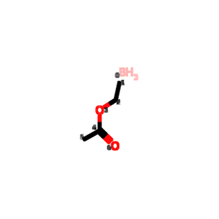 B.CCOC(C)=O